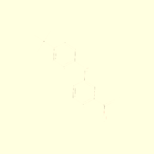 CC(C)(C)c1ccc([Se]c2cccc(C(=O)O)c2)cc1